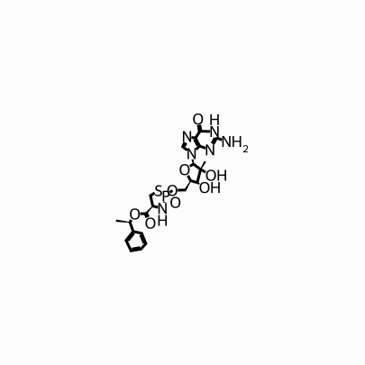 C[C@@H](OC(=O)[C@H]1CSP(=O)(OC[C@H]2O[C@@H](n3cnc4c(=O)[nH]c(N)nc43)[C@](C)(O)[C@@H]2O)N1)c1ccccc1